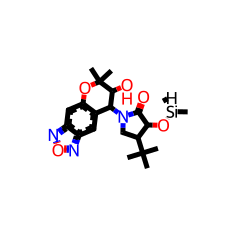 C[SiH](C)OC1C(=O)N(C2c3cc4nonc4cc3OC(C)(C)C2O)CC1C(C)(C)C